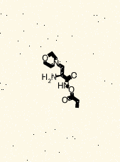 CCC(=O)ONC(=O)[C@@H](N)CN1CCOCC1